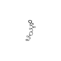 CC(C)(C)OC(=O)N1CCN(CC(=O)Nc2nc3ccccc3s2)CC1